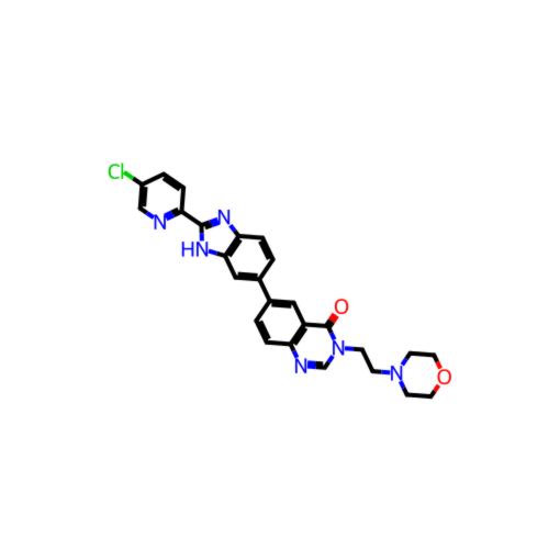 O=c1c2cc(-c3ccc4nc(-c5ccc(Cl)cn5)[nH]c4c3)ccc2ncn1CCN1CCOCC1